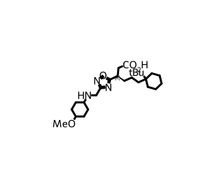 COC1CCC(NCc2noc([C@H](CCCC3(C(C)(C)C)CCCCC3)CC(=O)O)n2)CC1